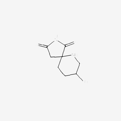 CC(C)C1CCC2(CC(=O)NC2=O)NC1